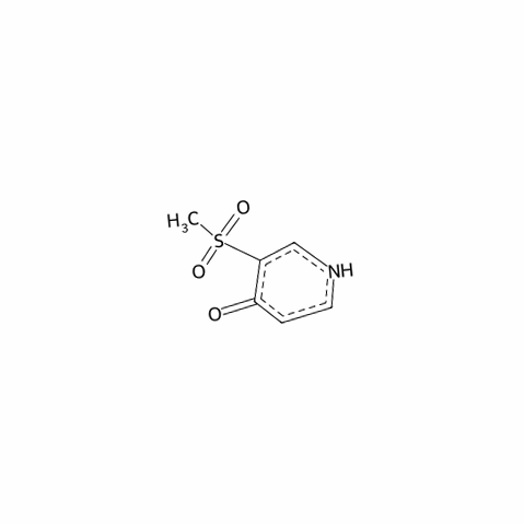 CS(=O)(=O)c1c[nH]ccc1=O